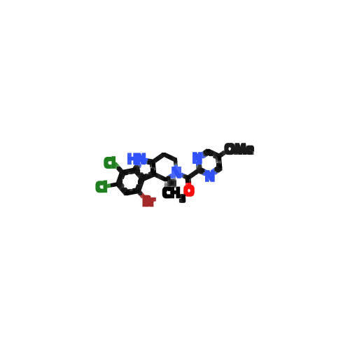 COc1cnc(C(=O)N2CCc3[nH]c4c(Cl)c(Cl)cc(Br)c4c3[C@H]2C)nc1